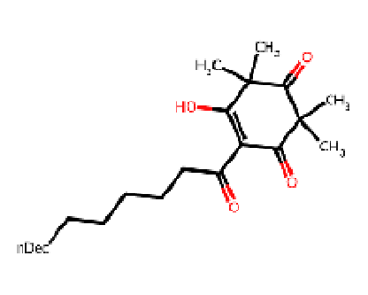 CCCCCCCCCCCCCCCC(=O)C1=C(O)C(C)(C)C(=O)C(C)(C)C1=O